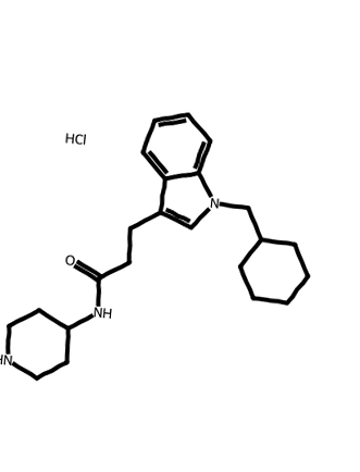 Cl.O=C(CCc1cn(CC2CCCCC2)c2ccccc12)NC1CCNCC1